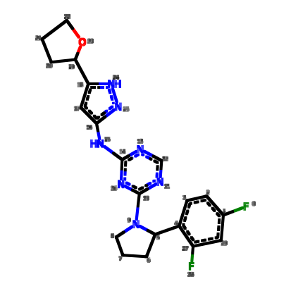 Fc1ccc(C2CCCN2c2ncnc(Nc3cc(C4CCCO4)[nH]n3)n2)c(F)c1